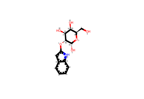 OC[C@H]1O[C@H](O)[C@H](Oc2cc3ccccc3[nH]2)[C@@H](O)[C@H]1O